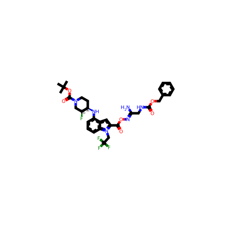 CC(C)(C)OC(=O)N1CC[C@@H](Nc2cccc3c2cc(C(=O)ON=C(N)CNC(=O)OCc2ccccc2)n3CC(F)(F)F)[C@@H](F)C1